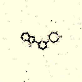 c1cc(-c2cc3cccnc3[nH]2)nc(N2CCCNCC2)c1